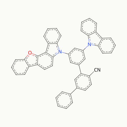 N#Cc1ccc(-c2ccccc2)cc1-c1cc(-n2c3ccccc3c3ccccc32)cc(-n2c3ccccc3c3c4oc5ccccc5c4ccc32)c1